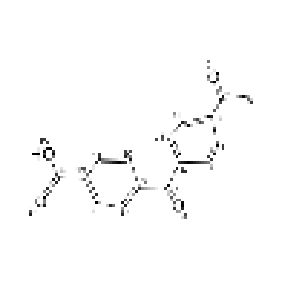 CC(=O)c1ccc(C(=O)c2ccc(C(=O)O)cc2)cc1